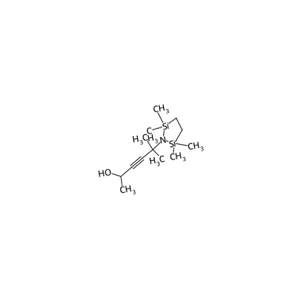 CC(O)C#CC(C)(C)N1[Si](C)(C)CC[Si]1(C)C